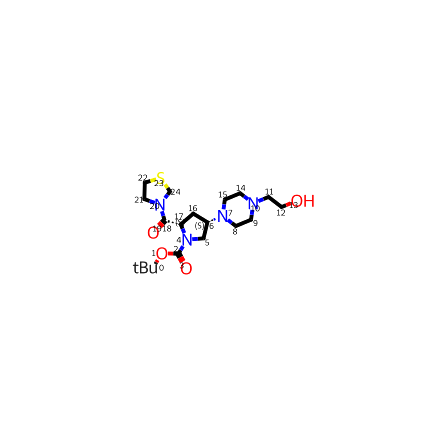 CC(C)(C)OC(=O)N1C[C@@H](N2CCN(CCO)CC2)C[C@H]1C(=O)N1CCSC1